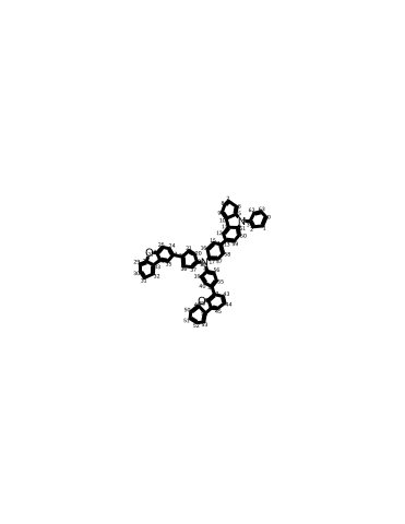 c1ccc(-n2c3ccccc3c3cc(-c4ccc(N(c5ccc(-c6ccc7oc8ccccc8c7c6)cc5)c5ccc(-c6cccc7c6oc6ccccc67)cc5)cc4)ccc32)cc1